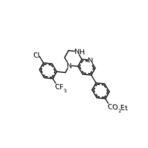 CCOC(=O)c1ccc(-c2cnc3c(c2)N(Cc2cc(Cl)ccc2C(F)(F)F)CCN3)cc1